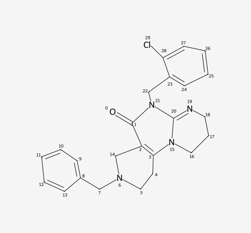 O=C1C2=C(CCN(Cc3ccccc3)C2)N2CCCN=C2N1Cc1ccccc1Cl